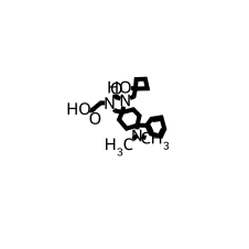 CN(C)C1(c2ccccc2)CCC2(CC1)CN(CC(=O)O)C(=O)N2CC1(O)CCC1